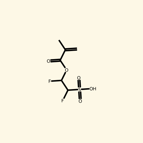 C=C(C)C(=O)OC(F)C(F)S(=O)(=O)O